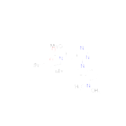 CCCC1(CCC(C)C)CN(c2cc3c(-n4ccc5c(N(C)C)cccc54)ncnc3cc2OC)C(=O)O1